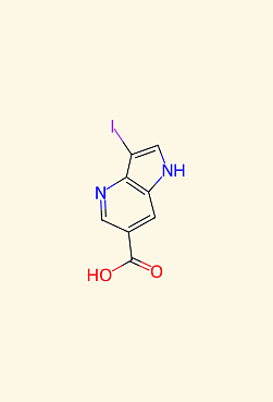 O=C(O)c1cnc2c(I)c[nH]c2c1